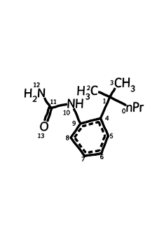 CCCC(C)(C)c1ccccc1NC(N)=O